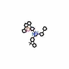 CC1(C)c2ccccc2-c2cc(-c3cc(-c4cccc(-c5ccccc5)c4)nc(-c4ccc(-c5cccc6ccc7c8ccccc8oc7c56)cc4)n3)ccc21